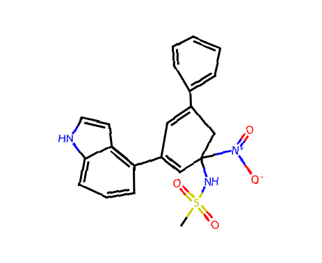 CS(=O)(=O)NC1([N+](=O)[O-])C=C(c2cccc3[nH]ccc23)C=C(c2ccccc2)C1